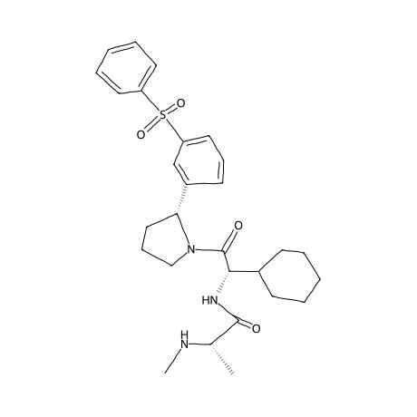 CN[C@@H](C)C(=O)N[C@H](C(=O)N1CCC[C@@H]1c1cccc(S(=O)(=O)c2ccccc2)c1)C1CCCCC1